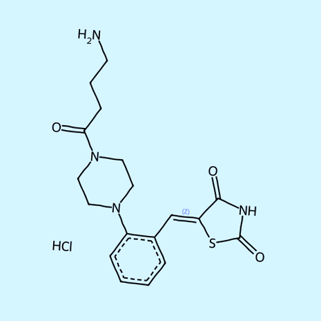 Cl.NCCCC(=O)N1CCN(c2ccccc2/C=C2\SC(=O)NC2=O)CC1